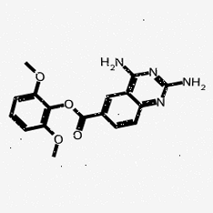 COc1cccc(OC)c1OC(=O)c1ccc2nc(N)nc(N)c2c1